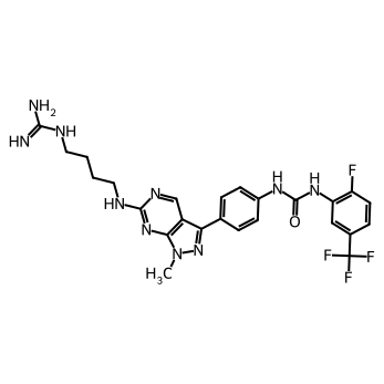 Cn1nc(-c2ccc(NC(=O)Nc3cc(C(F)(F)F)ccc3F)cc2)c2cnc(NCCCCNC(=N)N)nc21